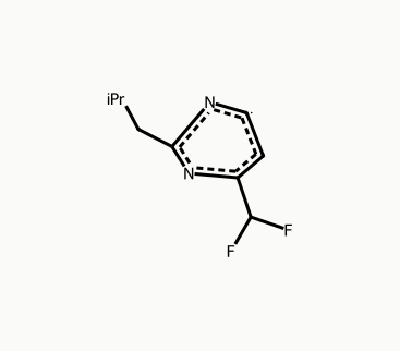 CC(C)Cc1n[c]cc(C(F)F)n1